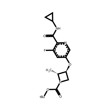 C[C@@H]1[C@@H](Oc2cnc(C(=O)NC3CC3)c(F)c2)CN1C(=O)OC(C)(C)C